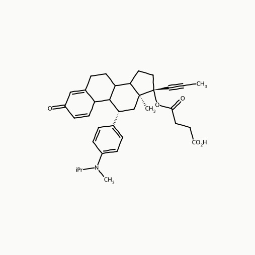 CC#C[C@]1(OC(=O)CCC(=O)O)CCC2C3CCC4=CC(=O)C=CC4C3[C@@H](c3ccc(N(C)C(C)C)cc3)C[C@@]21C